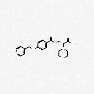 COC(=O)[C@H](CNC(=O)c1ccc(OCc2ccncc2)cc1)N1CCOCC1